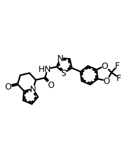 O=C1CCC(C(=O)Nc2ncc(-c3ccc4c(c3)OC(F)(F)O4)s2)n2cccc21